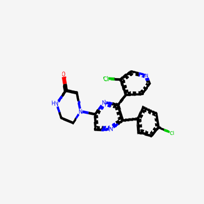 O=C1CN(c2cnc(-c3ccc(Cl)cc3)c(-c3ccncc3Cl)n2)CCN1